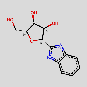 OC[C@H]1O[C@@H](c2nc3ccccc3[nH]2)[C@H](O)[C@@H]1O